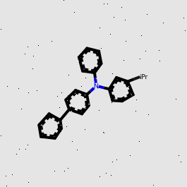 CC(C)c1cccc(N(c2ccccc2)c2ccc(-c3ccccc3)cc2)c1